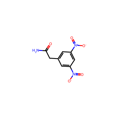 NC(=O)Cc1cc([N+](=O)[O-])cc([N+](=O)[O-])c1